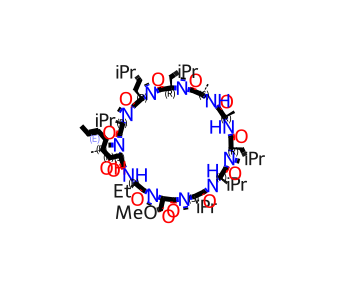 C/C=C/C[C@@H](C)[C@@H](O)[C@H]1C(=O)N[C@H](CC)C(=O)N(C)C(C(=O)OC)C(=O)N(C)[C@@H](C(C)C)C(=O)N[C@H](C(C)C)C(=O)N(C)[C@H](CC(C)C)C(=O)N[C@H](C)C(=O)N[C@@H](C)C(=O)N(C)[C@H](CC(C)C)C(=O)N(C)[C@H](CCC(C)C)C(=O)N(C)[C@H](C(C)C)C(=O)N1C